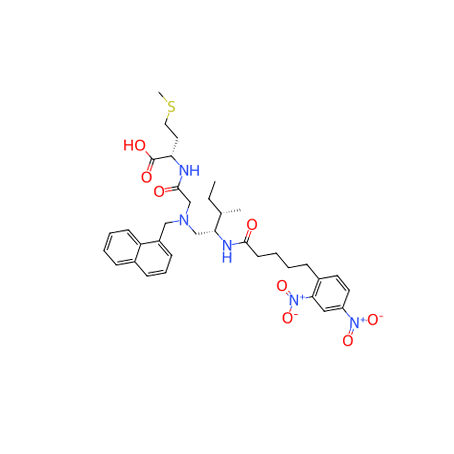 CC[C@H](C)[C@@H](CN(CC(=O)N[C@@H](CCSC)C(=O)O)Cc1cccc2ccccc12)NC(=O)CCCCc1ccc([N+](=O)[O-])cc1[N+](=O)[O-]